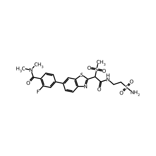 CN(C)C(=O)c1ccc(-c2ccc3nc(C(C(=O)NCCS(N)(=O)=O)S(C)(=O)=O)sc3c2)cc1F